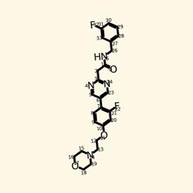 O=C(Cc1ncc(-c2ccc(OCCN3CCOCC3)cc2F)cn1)NCc1cccc(F)c1